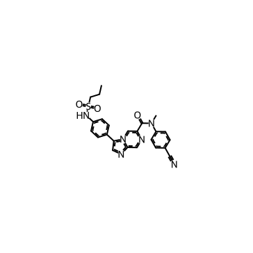 CCCS(=O)(=O)Nc1ccc(-c2cnc3cnc(C(=O)N(C)c4ccc(C#N)cc4)cn23)cc1